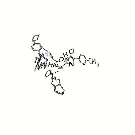 Cc1ccc(-c2nc([C@H](CC(=O)N3Cc4ccccc4C3)NC(=O)/C=C/c3cc(Cl)ccc3-n3cnnn3)[nH]c2Cl)cc1